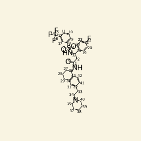 O=C(C[C@@H](NS(=O)(=O)c1cccc(C(F)(F)F)c1)c1ccc(F)cc1)N[C@@H]1CCCc2cc(CCN3CCCCC3)ccc21